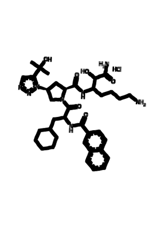 CC(C)(O)c1cnnn1[C@H]1C[C@@H](C(=O)NC(CCCCN)C(O)C(N)=O)N(C(=O)C(CC2CCCCC2)NC(=O)c2ccc3ccccc3c2)C1.Cl